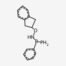 PB(NOC1Cc2ccccc2C1)c1ccccc1